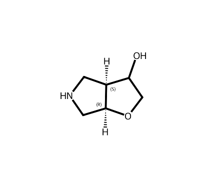 OC1CO[C@H]2CNC[C@@H]12